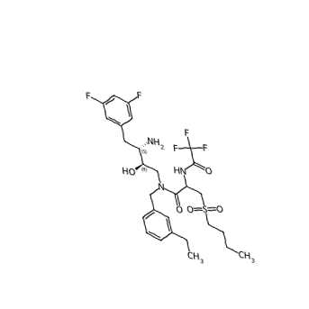 CCCCS(=O)(=O)CC(NC(=O)C(F)(F)F)C(=O)N(Cc1cccc(CC)c1)C[C@@H](O)[C@@H](N)Cc1cc(F)cc(F)c1